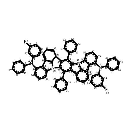 Fc1cccc(N(c2ccccc2)c2cccc3c2C2=CC=CC4c5c(c(-c6ccccc6)c6c7cccc8c9c(N(c%10ccccc%10)c%10cccc(F)c%10)cccc9n(c6c5-c5ccccc5)c87)N3C24)c1